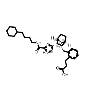 O=C(O)CCc1ccccc1C[C@@H]1[C@H](c2n[nH]c(C(=O)NCCCCC3CCCCC3)n2)[C@H]2CC[C@@H]1O2